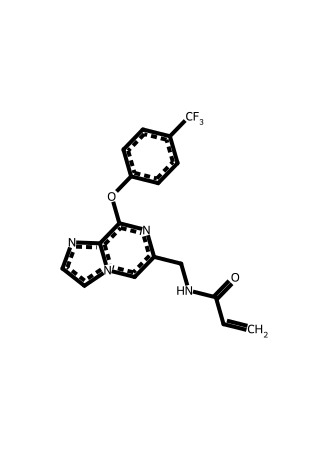 C=CC(=O)NCc1cn2ccnc2c(Oc2ccc(C(F)(F)F)cc2)n1